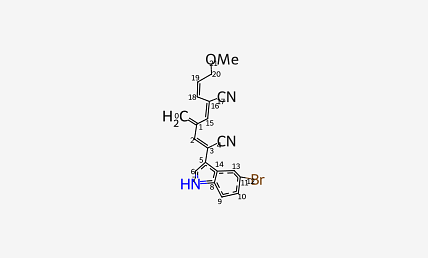 C=C(/C=C(\C#N)c1c[nH]c2ccc(Br)cc12)/C=C(C#N)\C=C/COC